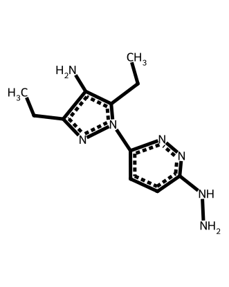 CCc1nn(-c2ccc(NN)nn2)c(CC)c1N